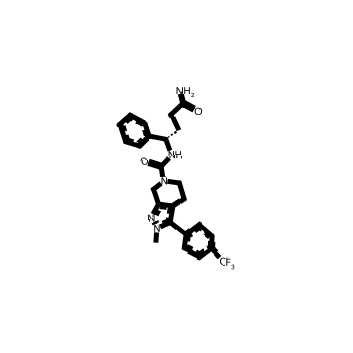 Cn1nc2c(c1-c1ccc(C(F)(F)F)cc1)CCN(C(=O)N[C@@H](CCC(N)=O)c1ccccc1)C2